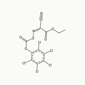 CCOC(=O)C(C#N)=NOC(=O)Oc1c(Cl)c(Cl)c(Cl)c(Cl)c1Cl